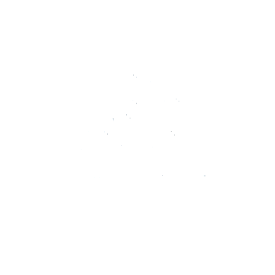 CCc1nc2ccc(N3CCS(=O)(=O)CC3)nn2c1C(N)c1nc(-c2ccc(F)cc2)cs1